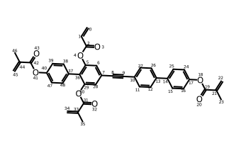 C=CC(=O)Oc1cc(C#Cc2ccc(-c3ccc(OC(=O)C(=C)C)cc3)cc2)cc(OC(=O)C(=C)C)c1-c1ccc(OC(=O)C(=C)C)cc1